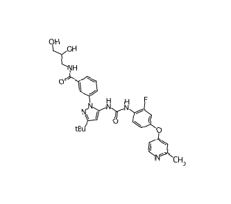 Cc1cc(Oc2ccc(NC(=O)Nc3cc(C(C)(C)C)nn3-c3cccc(C(=O)NCC(O)CO)c3)c(F)c2)ccn1